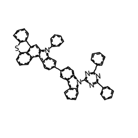 c1ccc(-c2nc(-c3ccccc3)nc(-n3c4ccccc4c4cc(-c5ccc6c7c8cccc9c8c(cc7n(-c7ccccc7)c6c5)-c5ccccc5S9)ccc43)n2)cc1